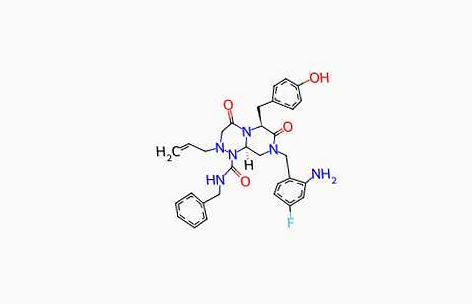 C=CCN1CC(=O)N2[C@@H](CN(Cc3ccc(F)cc3N)C(=O)[C@@H]2Cc2ccc(O)cc2)N1C(=O)NCc1ccccc1